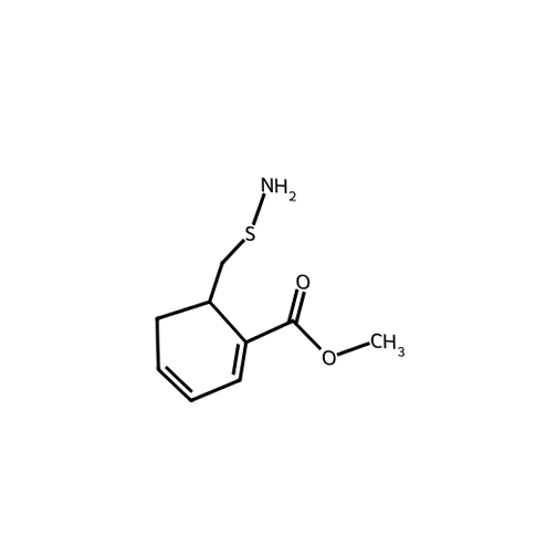 COC(=O)C1=CC=CCC1CSN